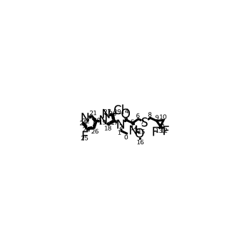 CCN(C(=O)C(CSCC1CC1(F)F)=NOC)c1cn(-c2cncc(F)c2)nc1Cl